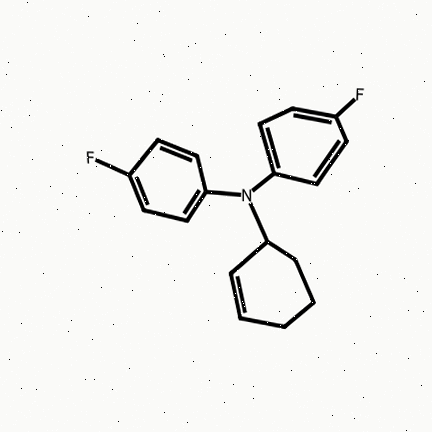 Fc1ccc(N(c2ccc(F)cc2)C2C=CCCC2)cc1